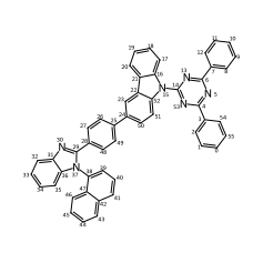 c1ccc(-c2nc(-c3ccccc3)nc(-n3c4ccccc4c4cc(-c5ccc(-c6nc7ccccc7n6-c6cccc7ccccc67)cc5)ccc43)n2)cc1